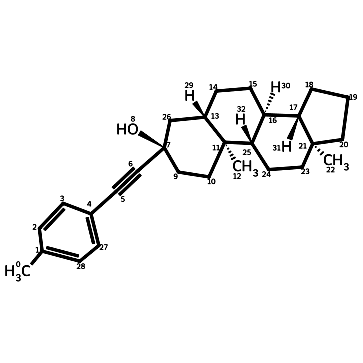 Cc1ccc(C#C[C@@]2(O)CC[C@@]3(C)[C@@H](CC[C@H]4[C@@H]5CCC[C@@]5(C)CC[C@@H]43)C2)cc1